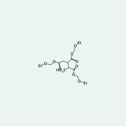 CCOCOC(=O)CC(C(=O)OCOCC)C(C(=O)OCOCC)S(=O)(=O)O